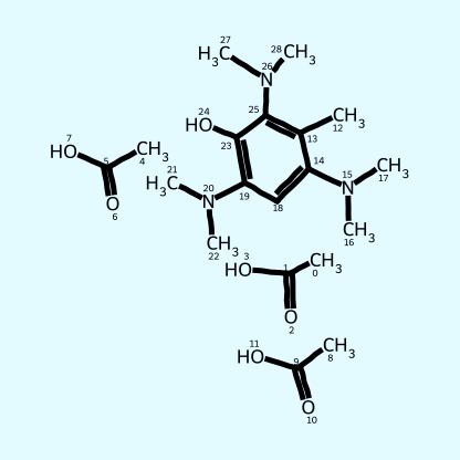 CC(=O)O.CC(=O)O.CC(=O)O.Cc1c(N(C)C)cc(N(C)C)c(O)c1N(C)C